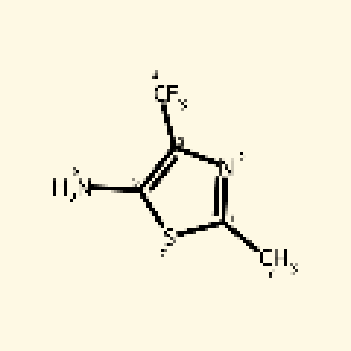 Cc1nc(C(F)(F)F)c(N)s1